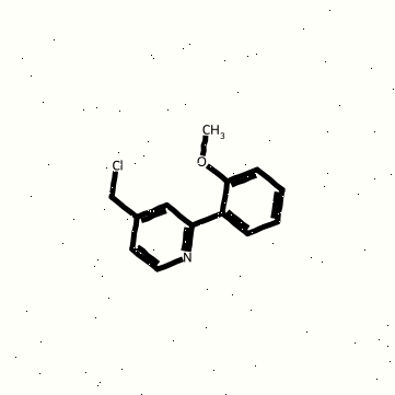 COc1ccccc1-c1cc(CCl)ccn1